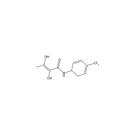 C/C(O)=C(\C#N)C(=O)NC1C=CC(C(F)(F)F)=CC1